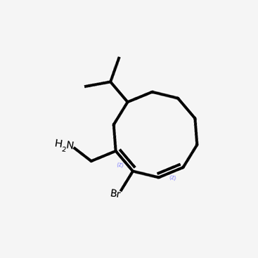 CC(C)C1CCCC/C=C\C(Br)=C(\CN)C1